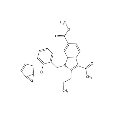 CCCc1c(C(C)=O)c2ccc(C(=O)OC)cc2n1Cc1ccccc1Cl.c1cc2cc-2c1